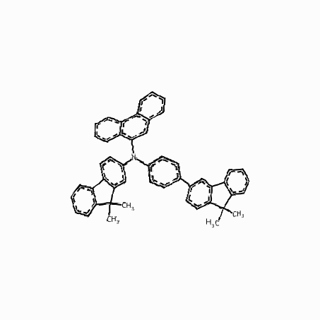 CC1(C)c2ccccc2-c2cc(-c3ccc(N(c4ccc5c(c4)C(C)(C)c4ccccc4-5)c4cc5ccccc5c5ccccc45)cc3)ccc21